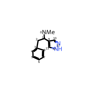 CNC(Cc1ccccc1)c1cn[nH]c1